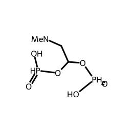 CNCC(O[PH](=O)O)O[PH](=O)O